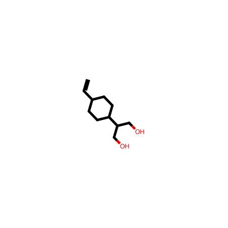 C=CC1CCC(C(CO)CO)CC1